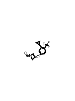 O=CN1CC(Oc2ccc(C(F)(F)F)c(C3CC3)c2)C1